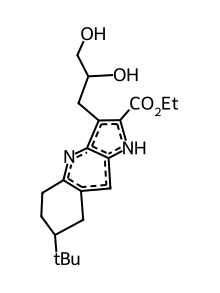 CCOC(=O)c1[nH]c2cc3c(nc2c1CC(O)CO)CCC(C(C)(C)C)C3